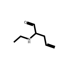 C=CCC(C=O)NCC